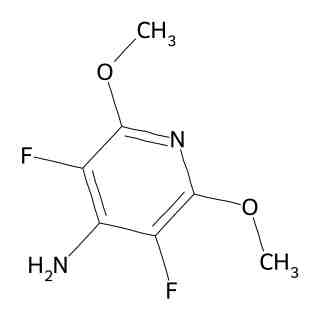 COc1nc(OC)c(F)c(N)c1F